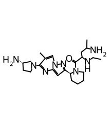 CCNC(CC(C)N)C(=O)N1CCCC[C@H]1c1cc2nc(N3CC[C@H](N)C3)c(C)cn2n1